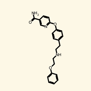 NC(=O)c1ccc(Oc2ccc(CCNCCOc3ccccc3)cc2)nc1